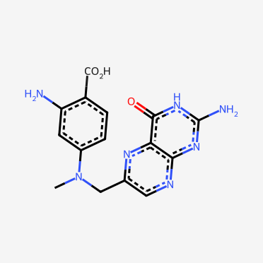 CN(Cc1cnc2nc(N)[nH]c(=O)c2n1)c1ccc(C(=O)O)c(N)c1